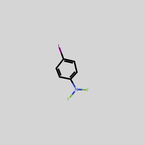 FN(F)c1ccc(I)cc1